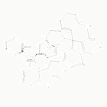 c1ccc(N(c2ccccc2)c2cccc3oc4cccc(N(c5ccccc5)c5cccc6c5-c5ccccc5C65c6ccccc6Sc6ccccc65)c4c23)cc1